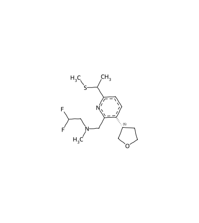 CSC(C)c1ccc([C@@H]2CCOC2)c(CN(C)CC(F)F)n1